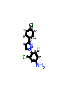 Nc1cc(Cl)c(-n2ccc(-c3ccc(Cl)cc3)n2)c(Cl)c1